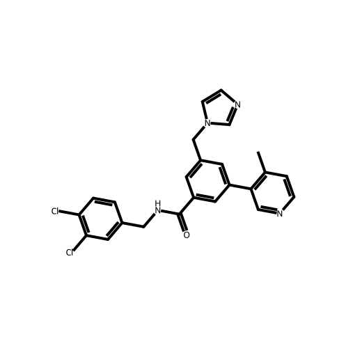 Cc1ccncc1-c1cc(Cn2ccnc2)cc(C(=O)NCc2ccc(Cl)c(Cl)c2)c1